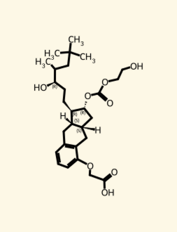 CC(CC(C)(C)C)[C@H](O)CC[C@@H]1[C@H]2Cc3cccc(OCC(=O)O)c3C[C@H]2C[C@H]1OC(=O)OCCO